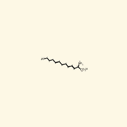 CC(C)CCCCCCCCCCC(N)C(=O)O